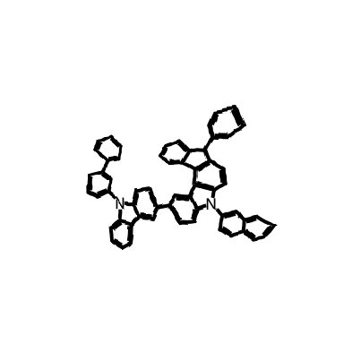 c1ccc(-c2cccc(-n3c4ccccc4c4cc(-c5ccc6c(c5)c5c7c(ccc5n6-c5ccc6ccccc6c5)C(c5ccccc5)c5ccccc5-7)ccc43)c2)cc1